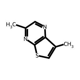 Cc1cnc2c(C)csc2n1